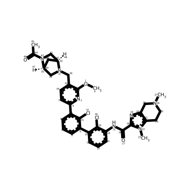 COc1nc(-c2cccc(-c3cccc(NC(=O)c4nc5c(n4C)CCN(C)C5)c3Cl)c2Cl)ccc1CN1C[C@@H]2C[C@H]1CN2C(C)=O